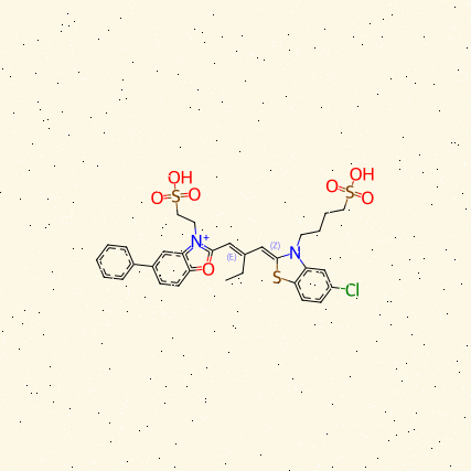 CCC(/C=C1\Sc2ccc(Cl)cc2N1CCCCS(=O)(=O)O)=C\c1oc2ccc(-c3ccccc3)cc2[n+]1CCS(=O)(=O)O